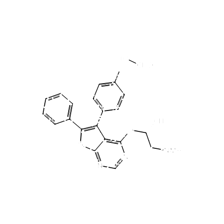 CCc1ccc(-c2c(-c3ccccc3)oc3ncnc(O[C@H](C)CNC)c23)cc1.O=CO